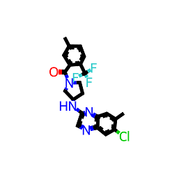 Cc1ccc(C(F)(F)F)c(C(=O)N2CCC(Nc3cnc4cc(Cl)c(C)cc4n3)C2)c1